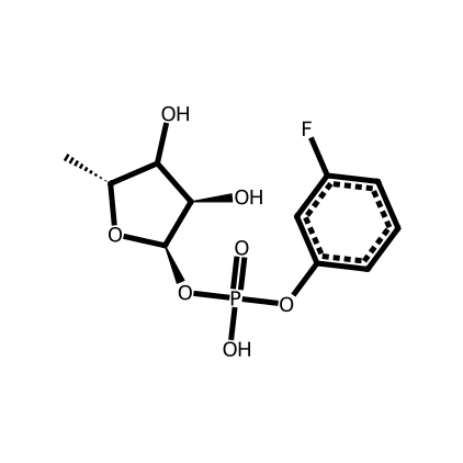 C[C@H]1O[C@H](OP(=O)(O)Oc2cccc(F)c2)[C@H](O)C1O